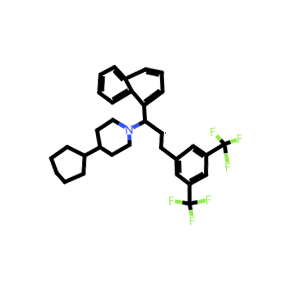 FC(F)(F)c1cc(C[CH]C(c2cccc3ccccc23)N2CCC(C3CCCCC3)CC2)cc(C(F)(F)F)c1